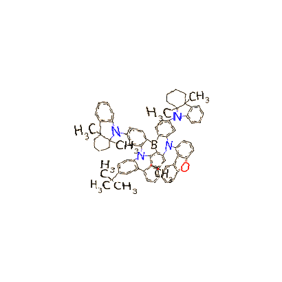 Cc1cc2c3c(c1)N(c1cccc4oc5ccccc5c14)c1cc(N4c5ccccc5C5(C)CCCCC45C)ccc1B3c1ccc(N3c4ccccc4C4(C)CCCCC34C)cc1N2c1ccc(C(C)(C)C)cc1-c1ccccc1